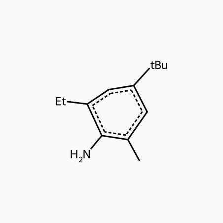 CCc1cc(C(C)(C)C)cc(C)c1N